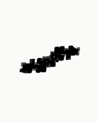 CC(C)(C)OC(=O)NCCC(=O)C1C(=O)c2ccc(C(=O)c3ccc4c(c3)C(=O)C(C(=O)CCNC(=O)OC(C)(C)C)C4=O)cc2C1=O